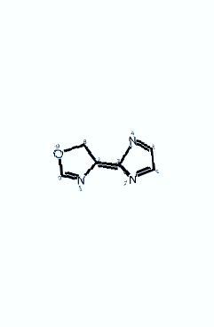 C1=NC(=C2N=CC=N2)CO1